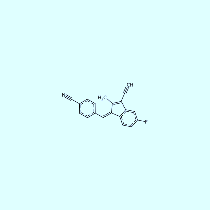 C#CC1=C(C)C(=Cc2ccc(C#N)cc2)c2ccc(F)cc21